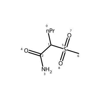 CCCC(C(N)=O)S(C)(=O)=O